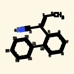 C/C=C(/C#N)c1ccccc1-c1ccccc1